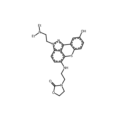 CCN(CC)CCn1nc2c3c(c(NCCN4CCOC4=O)ccc31)Sc1ccc(O)cc1-2